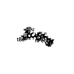 C=C1/C(=C\C=C2/CCC[C@]3(C)[C@@H]([C@H](C)[C@@H](O)CCCC4(C5(CCCCC)OCCO5)CC4)CC[C@@H]23)C[C@@H](O[Si](C)(C)C(C)(C)C)C[C@@H]1O[Si](C)(C)C(C)(C)C